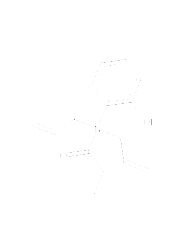 C=CC[N+](CC=C)(C(=O)CC)c1ccccc1O